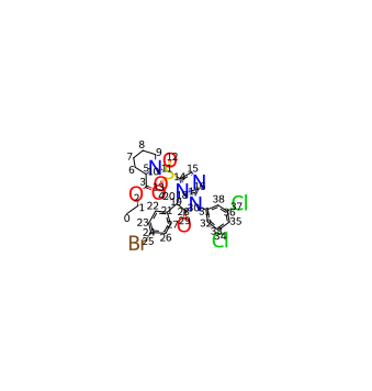 CCOC(=O)C1CCCCN1S(=O)(=O)c1cnc2n1[C@](C)(c1ccc(Br)cc1)C(=O)N2c1cc(Cl)cc(Cl)c1